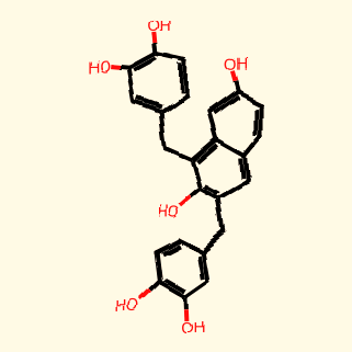 Oc1ccc2cc(Cc3ccc(O)c(O)c3)c(O)c(Cc3ccc(O)c(O)c3)c2c1